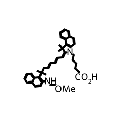 COCCNc1ccc2ccccc2c1C(C)(C)C/C=C/C=C/C=C1/N(CCCCCC(=O)O)c2ccc3ccccc3c2C1(C)C